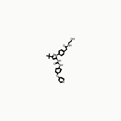 CC(C)(C)c1cc(NC(=O)Nc2ccc(Oc3ccncc3)cc2)n(-c2ccc(CC(=O)NCCO)cc2)n1